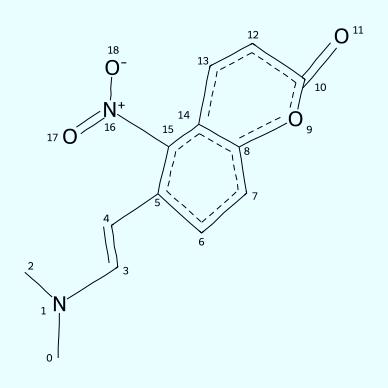 CN(C)/C=C/c1ccc2oc(=O)ccc2c1[N+](=O)[O-]